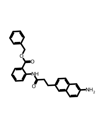 Nc1ccc2cc(CCC(=O)Nc3ccccc3C(=O)OCc3ccccc3)ccc2c1